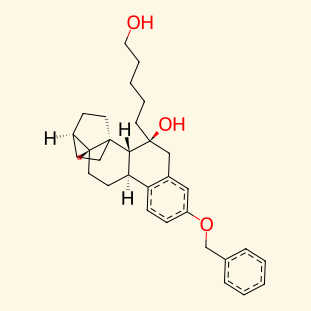 C[C@]12CC[C@@H]3c4ccc(OCc5ccccc5)cc4C[C@@](O)(CCCCCO)[C@H]3[C@]13CC[C@@H]2CC3